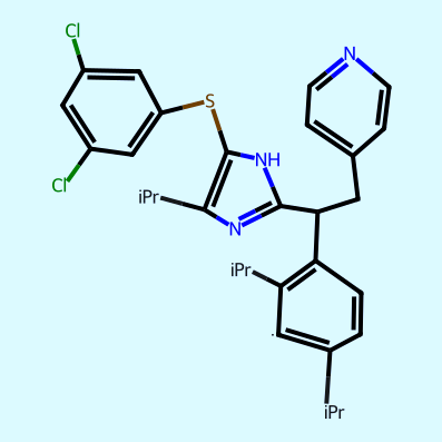 CC(C)c1[c]c(C(C)C)c(C(Cc2ccncc2)c2nc(C(C)C)c(Sc3cc(Cl)cc(Cl)c3)[nH]2)cc1